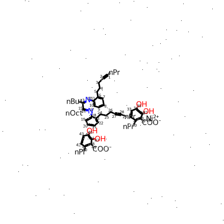 CCCC#CCCCc1ccccc1N=C(CCCC)C(CCCCCCCC)=Nc1ccccc1CCCC#CCCC.CCCc1ccc(O)c(O)c1C(=O)[O-].CCCc1ccc(O)c(O)c1C(=O)[O-].[Ni+2]